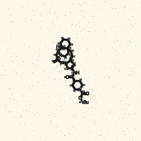 C=C1/C=c2/sc(NC(=O)C3CCN(C(=O)OC(C)(C)C)CC3)n/c2=C/CC23CCCC[C@H]2C(C1)N(C)CC3